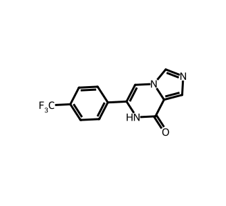 O=c1[nH]c(-c2ccc(C(F)(F)F)cc2)cn2cncc12